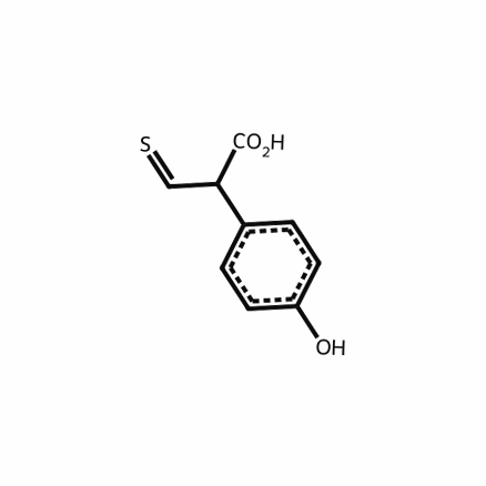 O=C(O)C(C=S)c1ccc(O)cc1